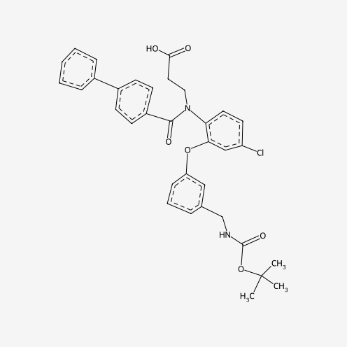 CC(C)(C)OC(=O)NCc1cccc(Oc2cc(Cl)ccc2N(CCC(=O)O)C(=O)c2ccc(-c3ccccc3)cc2)c1